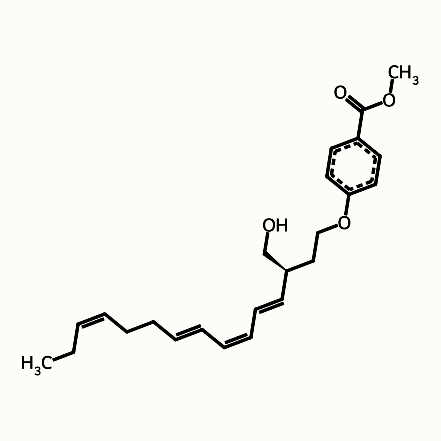 CC/C=C\CC/C=C/C=C\C=C\[C@@H](CO)CCOc1ccc(C(=O)OC)cc1